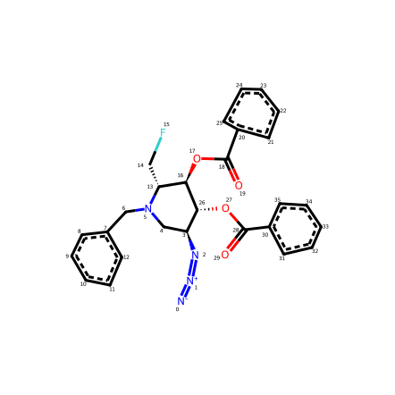 [N-]=[N+]=N[C@H]1CN(Cc2ccccc2)[C@H](CF)[C@@H](OC(=O)c2ccccc2)[C@@H]1OC(=O)c1ccccc1